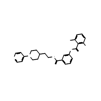 O=C(NCCC1CCN(c2ccncc2)CC1)c1cccc(NC(=O)c2c(Cl)cccc2Cl)c1